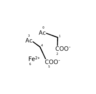 CC(=O)CC(=O)[O-].CC(=O)CC(=O)[O-].[Fe+2]